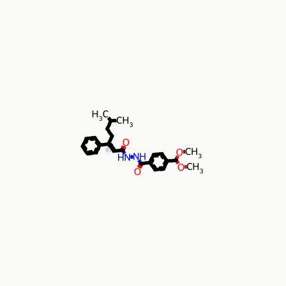 COC(OC)c1ccc(C(=O)NNC(=O)/C=C(\CCC(C)C)c2ccccc2)cc1